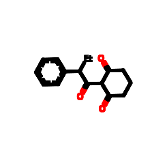 CCC(C(=O)C1C(=O)CCCC1=O)c1ccccc1